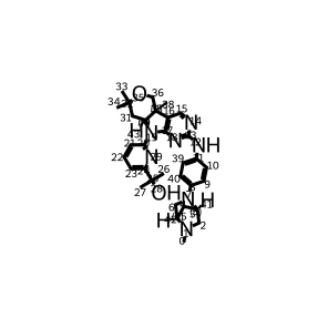 CN1C[C@@H]2C[C@H]1CN2c1ccc(Nc2ncc3c(n2)N(c2cccc(C(C)(C)O)n2)[C@@H]2CC(C)(C)OC[C@]32C)cc1